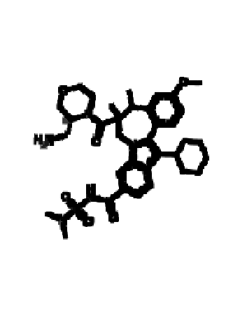 COc1ccc2c(c1)C(C)C(C)(C(=O)N1CCOC[C@H]1CN)Cn1c-2c(C2CCCCC2)c2ccc(C(=O)NS(=O)(=O)N(C)C)cc21